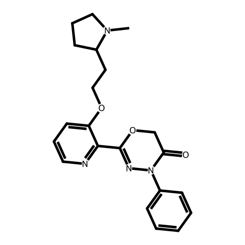 CN1CCCC1CCOc1cccnc1C1=NN(c2ccccc2)C(=O)CO1